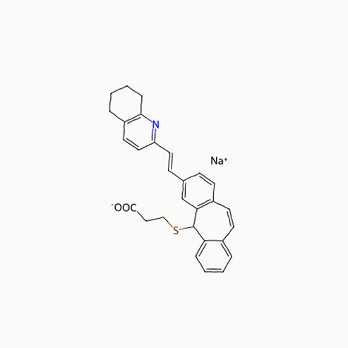 O=C([O-])CCSC1c2ccccc2C=Cc2ccc(/C=C/c3ccc4c(n3)CCCC4)cc21.[Na+]